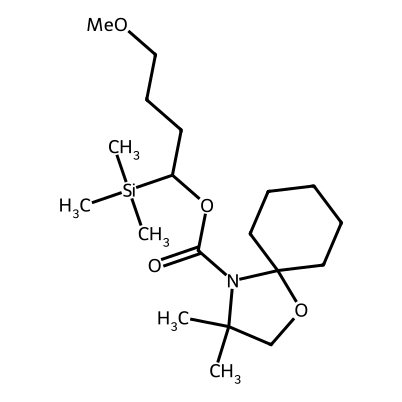 COCCCC(OC(=O)N1C(C)(C)COC12CCCCC2)[Si](C)(C)C